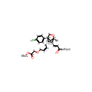 CCCCCC(=O)/C=C/[C@@H]1[C@@H]2C[C@@](c3ccc(F)cc3)(CO2)[C@H]1C/C=C\COCC(=O)OC(C)(C)C